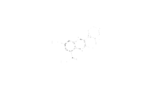 CC(=O)c1cc(C)cc2nc3c(nc12)OC[C@@H]1COCCN31